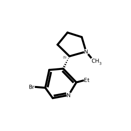 CCc1ncc(Br)cc1[C@@H]1CCCN1C